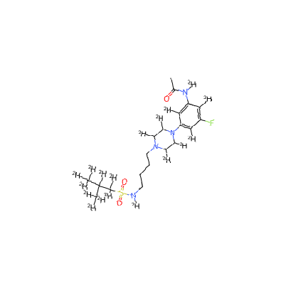 [2H]c1c(F)c([2H])c(N2C([2H])C([2H])N(CCCCN([2H])S(=O)(=O)C([2H])([2H])C([2H])(C([2H])([2H])[2H])C([2H])([2H])[2H])C([2H])C2[2H])c([2H])c1N([2H])C(C)=O